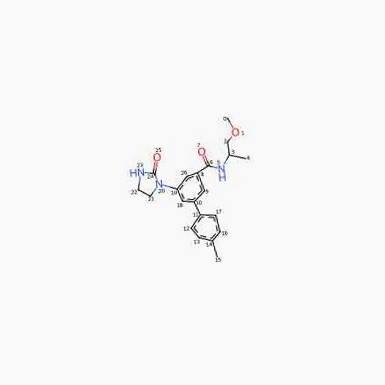 COCC(C)NC(=O)c1cc(-c2ccc(C)cc2)cc(N2CCNC2=O)c1